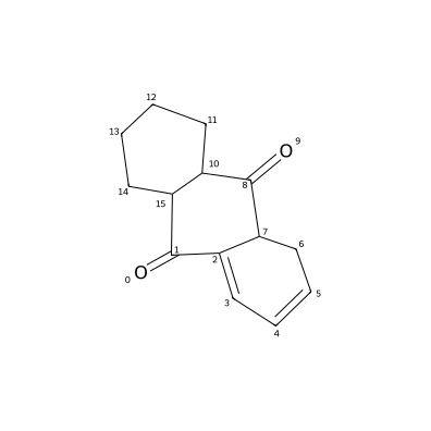 O=C1C2=CC=CCC2C(=O)C2CCCCC12